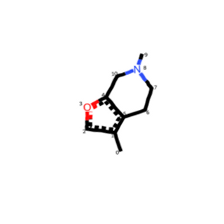 Cc1coc2c1CCN(C)C2